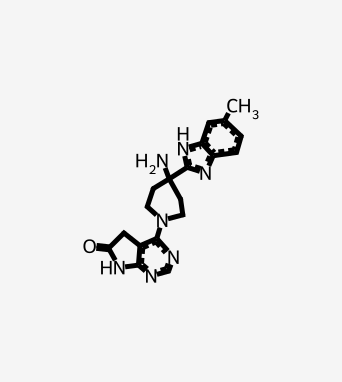 Cc1ccc2nc(C3(N)CCN(c4ncnc5c4CC(=O)N5)CC3)[nH]c2c1